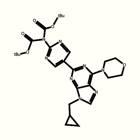 CC(C)(C)OC(=O)N(C(=O)OC(C)(C)C)c1ncc(-c2nc(N3CCOCC3)c3ncn(CC4CC4)c3n2)cn1